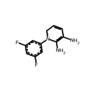 NC1=C(N)N(c2cc(F)cc(F)c2)CC=C1